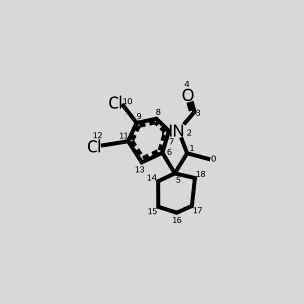 CC(NC=O)C1(c2ccc(Cl)c(Cl)c2)CCCCC1